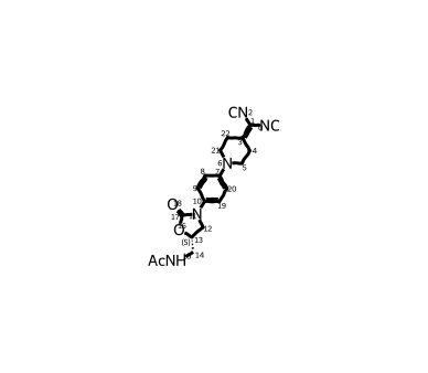 [C-]#[N+]C([N+]#[C-])=C1CCN(c2ccc(N3C[C@H](CNC(C)=O)OC3=O)cc2)CC1